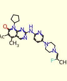 CC(=O)c1c(C)c2cnc(Nc3ccc(N4CCN(C=C(C)F)CC4)cn3)nc2n(C2CCCC2)c1=O